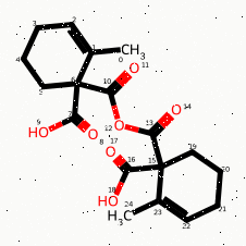 CC1=CCCCC1(C(=O)O)C(=O)OC(=O)C1(C(=O)O)CCCC=C1C